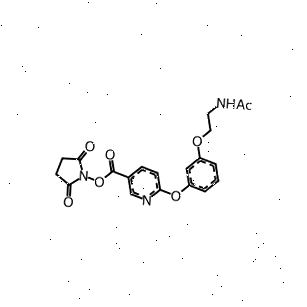 CC(=O)NCCOc1cccc(Oc2ccc(C(=O)ON3C(=O)CCC3=O)cn2)c1